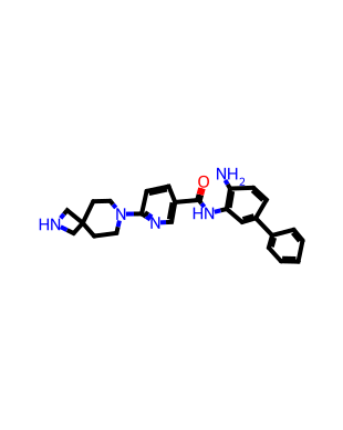 Nc1ccc(-c2ccccc2)cc1NC(=O)c1ccc(N2CCC3(CC2)CNC3)nc1